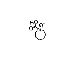 O=C(O)[N+]1([O-])CCCCCC1